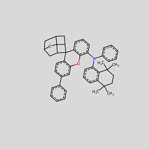 CC1(C)CCC(C)(C)c2c(N(c3ccccc3)c3cccc4c3Oc3cc(-c5ccccc5)ccc3C43C4CC5CC6CC3C64C5)cccc21